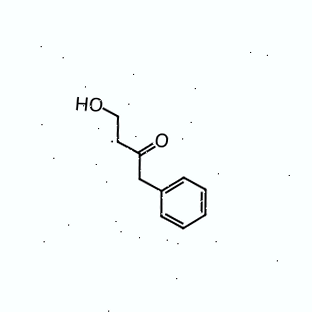 O=C([CH]CO)Cc1ccccc1